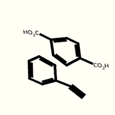 C#Cc1ccccc1.O=C(O)c1ccc(C(=O)O)cc1